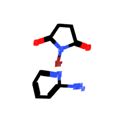 Nc1ccccn1.O=C1CCC(=O)N1Br